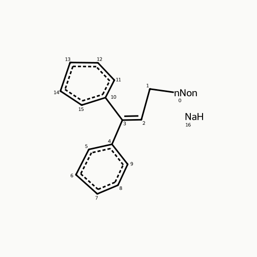 CCCCCCCCCCC=C(c1ccccc1)c1ccccc1.[NaH]